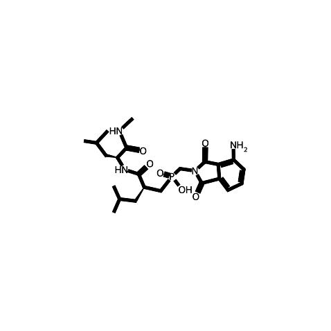 CNC(=O)[C@H](CC(C)C)NC(=O)[C@H](CC(C)C)CP(=O)(O)CN1C(=O)c2cccc(N)c2C1=O